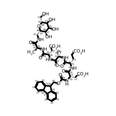 CC(C)[C@H](NC(=O)[C@H](CCC(=O)O)NC(=O)[C@H](CC(=O)O)NC(=O)OCC1c2ccccc2-c2ccccc21)C(=O)N[C@@H](CC(=O)O)C(=O)N[C@@H](C)C(=O)NC[C@@H]1O[C@H](CO)C(O)C(O)[C@H]1O